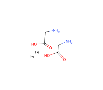 NCC(=O)O.NCC(=O)O.[Fe].[Fe]